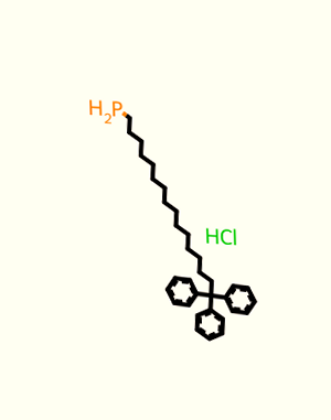 Cl.PCCCCCCCCCCCCCCCC(c1ccccc1)(c1ccccc1)c1ccccc1